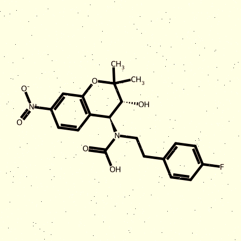 CC1(C)Oc2cc([N+](=O)[O-])ccc2[C@H](N(CCc2ccc(F)cc2)C(=O)O)[C@H]1O